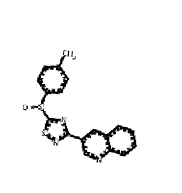 Cc1ccc([S+]([O-])c2nc(-c3cnc4ccccc4c3)ns2)cc1